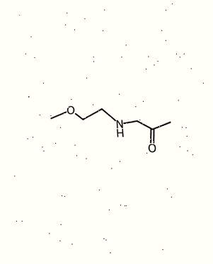 COCCNCC(C)=O